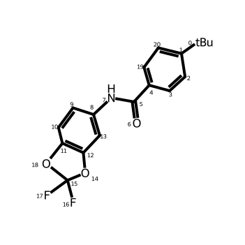 CC(C)(C)c1ccc(C(=O)Nc2ccc3c(c2)OC(F)(F)O3)cc1